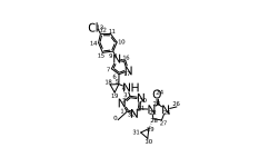 Cc1nc(NC2(c3cn(-c4ccc(Cl)cc4)cn3)CC2)nc(N2C(=O)N(C)C[C@@H]2C2CC2)n1